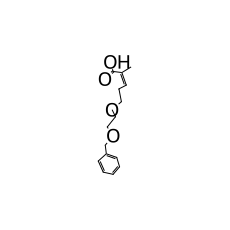 CC(=CCCOCCOCc1ccccc1)C(=O)O